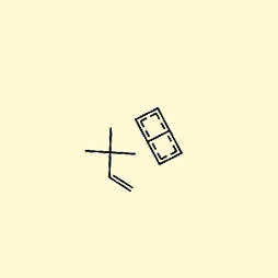 C=CC(C)(C)C.c1cc2ccc1-2